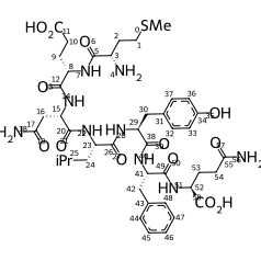 CSCC[C@H](N)C(=O)N[C@@H](CCC(=O)O)C(=O)N[C@@H](CC(N)=O)C(=O)N[C@@H](CC(C)C)C(=O)N[C@@H](Cc1ccc(O)cc1)C(=O)N[C@@H](Cc1ccccc1)C(=O)N[C@@H](CCC(N)=O)C(=O)O